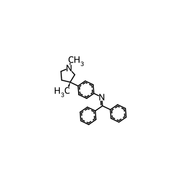 CN1CC[C@@](C)(c2ccc(N=C(c3ccccc3)c3ccccc3)cc2)C1